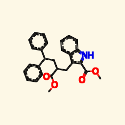 COC(=O)c1[nH]c2ccccc2c1CC(CC(c1ccccc1)c1ccccc1)C(=O)OC